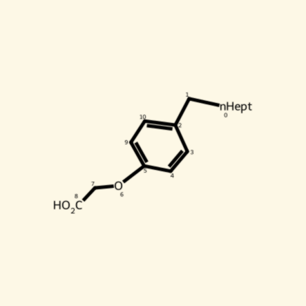 CCCCCCCCc1ccc(OCC(=O)O)cc1